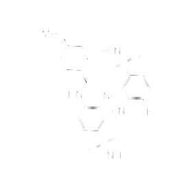 CO[C@H]1CC[C@@H](CNc2ccc(S(N)(=O)=O)cc2[N+](=O)[O-])CC1.NS(=O)(=O)c1ccc(F)c([N+](=O)[O-])c1